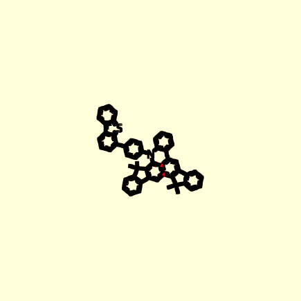 CC1(C)c2ccccc2-c2cc(-c3ccccc3N(c3ccc(-c4cccc5c4sc4ccccc45)cc3)c3cccc4c3C(C)(C)c3ccccc3-4)ccc21